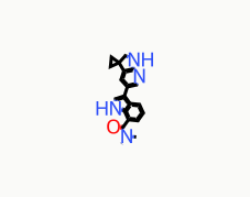 CN(C)C(=O)c1cccc2c(-c3cnc4c(c3)C3(CC3)CN4)c[nH]c12